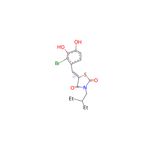 CCC(CC)CN1C(=O)S/C(=C\c2ccc(O)c(O)c2Br)C1=O